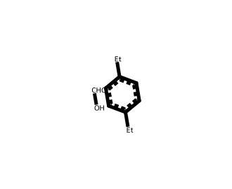 CCc1ccc(CC)cc1.O=CO